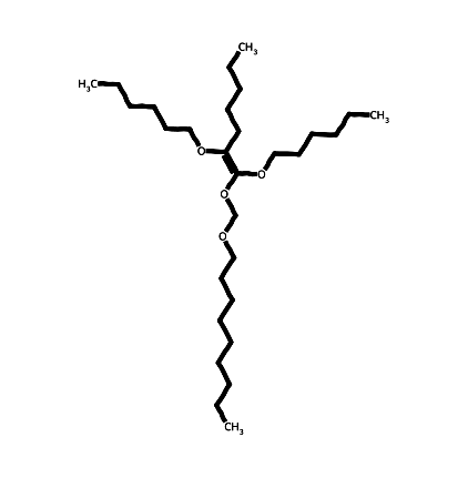 CCCCCCCCCOCOC(OCCCCCC)=C(CCCCC)OCCCCCC